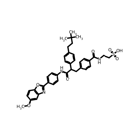 COc1ccc2oc(-c3ccc(NC(=O)C(Cc4ccc(C(=O)NCCS(=O)(=O)O)cc4)c4ccc(CCC(C)(C)C)cc4)cc3)nc2c1